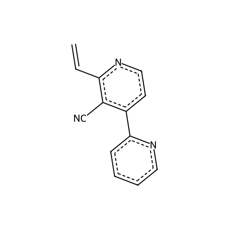 C=Cc1nccc(-c2ccccn2)c1C#N